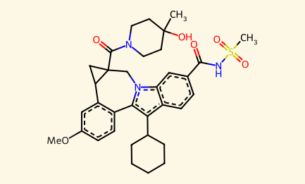 COc1ccc2c(c1)C1CC1(C(=O)N1CCC(C)(O)CC1)Cn1c-2c(C2CCCCC2)c2ccc(C(=O)NS(C)(=O)=O)cc21